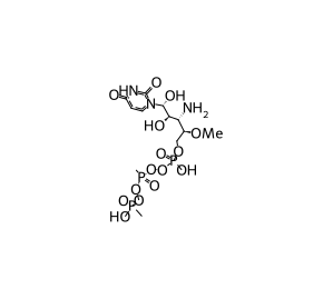 CO[C@@H](COP(=O)(O)OOP(C)(=O)OOP(C)(=O)O)[C@@H](N)[C@@H](O)[C@@H](O)n1ccc(=O)[nH]c1=O